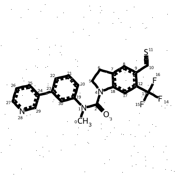 CN(C(=O)N1CCc2cc(C=S)c(C(F)(F)F)cc21)c1cccc(-c2cccnc2)c1